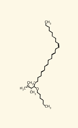 CCCCCCCC/C=C\CCCCCCCCCCCCOC(OCCCCCC)[C@H](C)N(C)C